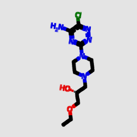 CCOC[C@H](O)CN1CCN(c2nnc(Cl)c(N)n2)CC1